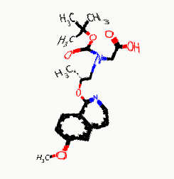 COc1ccc2c(O[C@H](C)CN(CC(=O)O)C(=O)OC(C)(C)C)nccc2c1